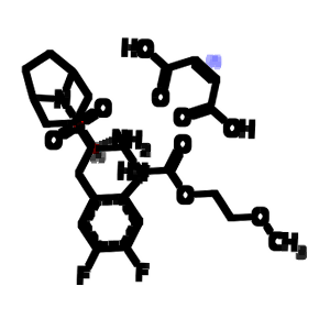 COCCOC(=O)NCCS(=O)(=O)N1C2CCC1CC([C@H](N)Cc1cc(F)c(F)cc1F)C2.O=C(O)/C=C\C(=O)O